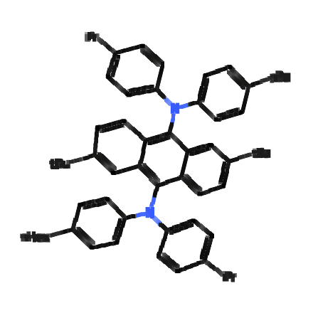 CCCCCCc1ccc(N(c2ccc(C(C)C)cc2)c2c3ccc(C(C)(C)C)cc3c(N(c3ccc(CCCC)cc3)c3ccc(C(C)C)cc3)c3ccc(C(C)(C)C)cc23)cc1